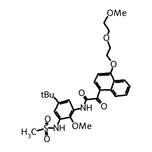 COCCOCCOc1ccc(C(=O)C(=O)Nc2cc(C(C)(C)C)cc(NS(C)(=O)=O)c2OC)c2ccccc12